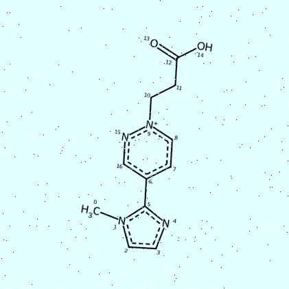 Cn1ccnc1-c1cc[n+](CCC(=O)O)nc1